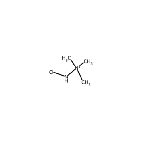 C[N+](C)(C)NCl